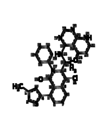 Cc1csc(-c2cccc3c(Cl)c([C@H](C)Nc4ncnc5[nH]ccc(=O)c45)n(-c4ccccc4)c(=O)c23)c1